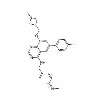 C=C(/C=C\C(C)=N/C)CNc1ncnc2c(OCC3CN(C)C3)cc(-c3ccc(F)cc3)cc12